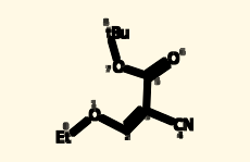 CCOC=C(C#N)C(=O)OC(C)(C)C